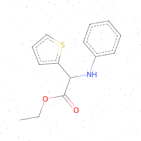 CCOC(=O)C(Nc1ccccc1)c1cccs1